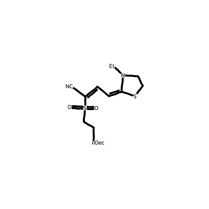 CCCCCCCCCCCCS(=O)(=O)C(C#N)=CC=C1SCCN1CC